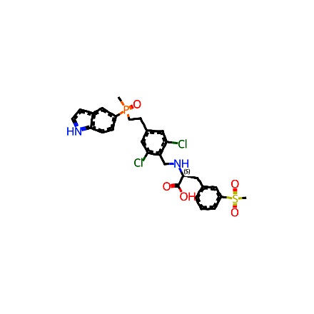 CP(=O)(CCc1cc(Cl)c(CN[C@@H](Cc2cccc(S(C)(=O)=O)c2)C(=O)O)c(Cl)c1)c1ccc2[nH]ccc2c1